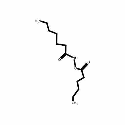 CCCCCC(=O)ONC(=O)CCCCCN